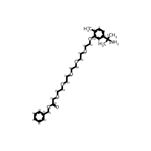 Cc1ccc(C(C)(C)N)cc1OCCOCCOCCOCCOCCOCC(=O)OCc1ccccc1